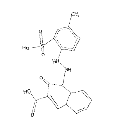 Cc1ccc(NNC2C(=O)C(C(=O)O)=CC3C=CC=CC32)c(S(=O)(=O)O)c1